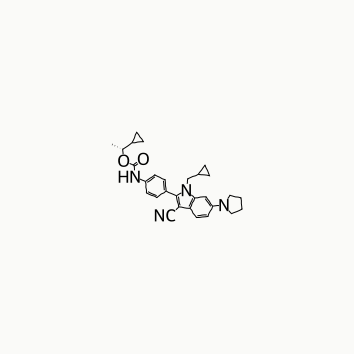 C[C@@H](OC(=O)Nc1ccc(-c2c(C#N)c3ccc(N4CCCC4)cc3n2CC2CC2)cc1)C1CC1